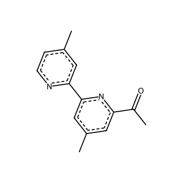 CC(=O)c1cc(C)cc(-c2cc(C)ccn2)n1